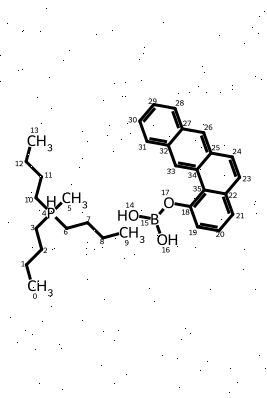 CCCC[PH](C)(CCCC)CCCC.OB(O)Oc1cccc2ccc3cc4ccccc4cc3c12